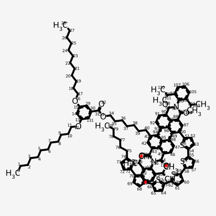 CCCCCCCCCCCCOc1cc(OCCCCCCCCCCCC)cc(C(=O)OCCCCCCCc2cc3c4c(ccc5c6c(-c7ccc(-c8ccc(-c9ccc(-c%10ccc(-c%11ccc(-c%12ccc(CCCCCC)s%12)s%11)s%10)s9)s8)s7)cc7c8c(ccc(c2c45)c86)C(=O)N(c2c(C(C)C)cccc2C(C)C)C7=O)C(=O)N(c2c(C(C)C)cccc2C(C)C)C3=O)c1